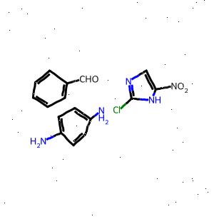 Nc1ccc(N)cc1.O=Cc1ccccc1.O=[N+]([O-])c1cnc(Cl)[nH]1